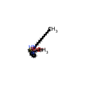 CCCCCCCCCCCCCCCCCCNC(=O)OCC1(c2ccc3ccccc3[n+]2CCCCOC)CCS1.[Br-]